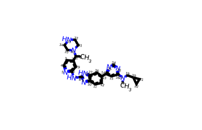 CC(c1ccnc(Nc2nc3ccc(-c4cc(N(C)CC5CC5)ncn4)cc3[nH]2)c1)N1CCNCC1